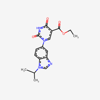 CCOC(=O)c1cn(-c2ccc3c(c2)ncn3C(C)C)c(=O)[nH]c1=O